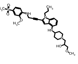 CCCn1c(C#CCNc2ccc(S(C)(=O)=O)cc2OC)cc2c(NC3CCN(CC(O)COC)CC3)cccc21